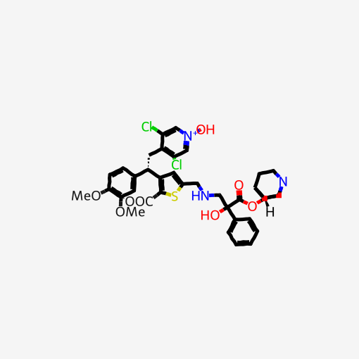 COc1ccc([C@H](Cc2c(Cl)c[n+](O)cc2Cl)c2cc(CNCC(O)(C(=O)O[C@H]3CN4CCC3CC4)c3ccccc3)sc2C(=O)[O-])cc1OC